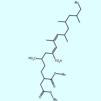 CCC(C)CC(C)CC(C)CC(C)C=C(C)C=C(CC(CCC(CC(=O)OC(C)(C)C)C(=O)OC(C)(C)C)C(=O)O)C(=O)O